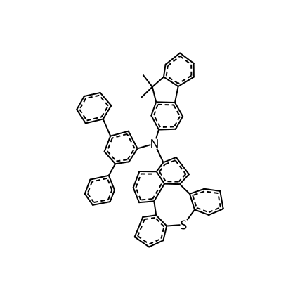 CC1(C)c2ccccc2-c2ccc(N(c3cc(-c4ccccc4)cc(-c4ccccc4)c3)c3ccc4c5c(cccc35)-c3ccccc3Sc3ccccc3-4)cc21